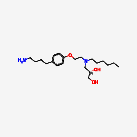 CCCCCCN(CCOc1ccc(CCCCN)cc1)C[C@H](O)CO